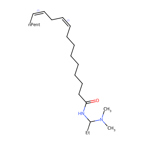 CCCCC/C=C\C/C=C\CCCCCCCC(=O)NC(CC)N(C)C